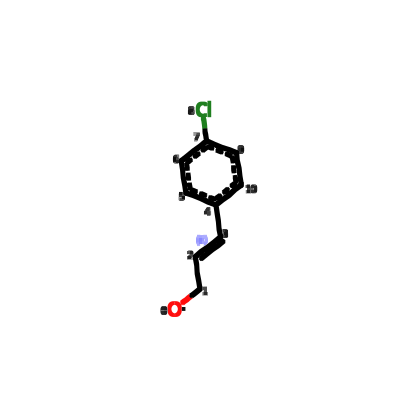 [O]C/C=C/c1ccc(Cl)cc1